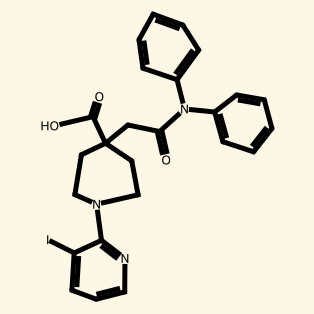 O=C(CC1(C(=O)O)CCN(c2ncccc2I)CC1)N(c1ccccc1)c1ccccc1